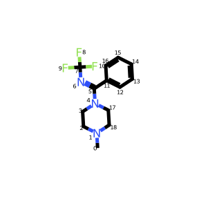 CN1CCN(C(=NC(F)(F)F)c2ccccc2)CC1